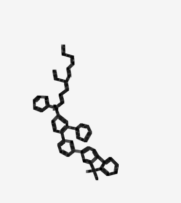 C=C\C=C/C=C/C(C=C)=C/C=C/N(c1ccccc1)c1ccc(-c2cccc(-c3ccc4c(c3)C(C)(C)c3ccccc3-4)c2)c(-c2ccccc2)c1